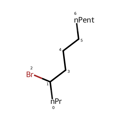 C[CH]CC(Br)CCCCCCCC